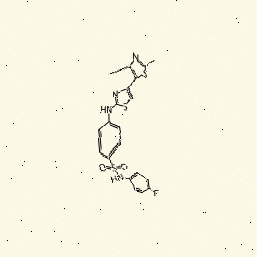 Cc1nc(C)c(-c2csc(Nc3ccc(S(=O)(=O)Nc4ccc(F)cc4)cc3)n2)s1